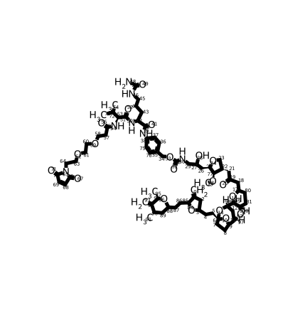 C=C1CC(CC[C@]23CCC(O2)[C@H]2C[C@@H](O3)[C@H]3OC(CC(=O)C[C@H]4CO[C@H](CC(O)CNC(=O)OCc5ccc(NC(=O)C(CCCNC(N)=O)NC(=O)[C@@H](NC(=O)CCOCCOCCN6C(=O)C=CC6=O)C(C)C)cc5)[C@@H]4OC)CC[C@@H]3O2)OC1CCC1C[C@@H](C)C(=C)[C@@H](C)O1